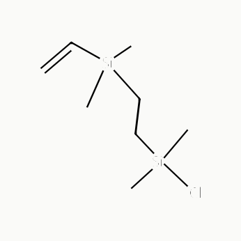 C=C[Si](C)(C)CC[Si](C)(C)Cl